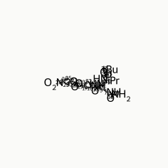 CC(C)[C@@H](CN[C@@H](CCCNC(N)=O)C(=O)Nc1ccc(COC(=O)Oc2ccc([N+](=O)[O-])cc2)cc1)NC(=O)OC(C)(C)C